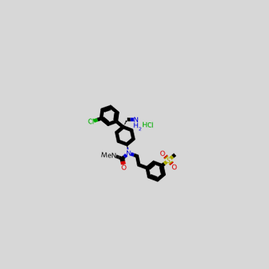 CNC(=O)N(CCc1cccc(S(C)(=O)=O)c1)[C@H]1CC[C@](CN)(c2cccc(Cl)c2)CC1.Cl